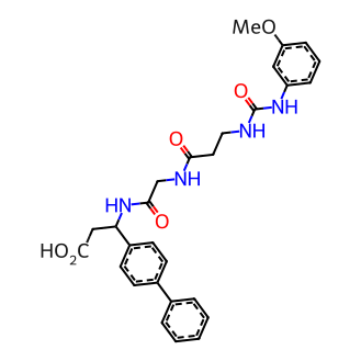 COc1cccc(NC(=O)NCCC(=O)NCC(=O)NC(CC(=O)O)c2ccc(-c3ccccc3)cc2)c1